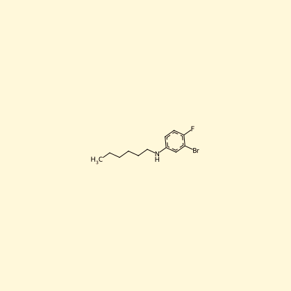 CCCCCCNc1ccc(F)c(Br)c1